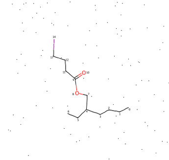 CCCCC(CC)COC(=O)CCCI